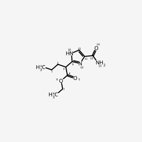 CCCC(C(=O)OCC)c1nc(C(N)=O)c[nH]1